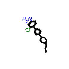 CCCC1CCC(c2ccc(-c3ccc(N)cc3Cl)cc2)CC1